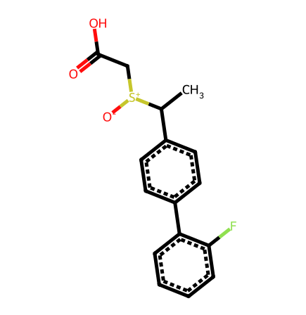 CC(c1ccc(-c2ccccc2F)cc1)[S+]([O-])CC(=O)O